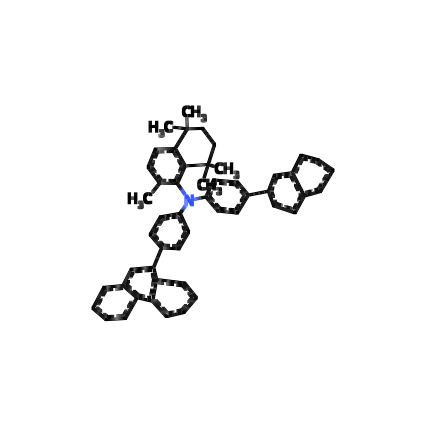 Cc1ccc2c(c1N(c1ccc(-c3ccc4ccccc4c3)cc1)c1ccc(-c3cc4ccccc4c4ccccc34)cc1)C(C)(C)CCC2(C)C